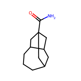 NC(=O)C12CC3CCCC(C1)C(C3)C2